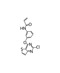 C=CC(=O)Nc1cccc(Oc2nc(Cl)nc3ccsc23)c1